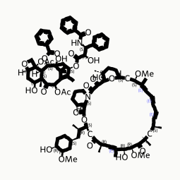 CC(=O)O[C@H]1C(=O)[C@@]2(C)[C@H]([C@H](OC(=O)c3ccccc3)[C@]3(O)C[C@H](OC(=O)[C@H](O)[C@@H](NC(=O)c4ccccc4)c4ccccc4)C(C)=C1C3(C)C)[C@]1(OC(C)=O)CO[C@@H]1C[C@@H]2O.CO[C@H]1C[C@@H]2CC[C@@H](C)[C@@](O)(O2)C(=O)C(=O)N2CCCC[C@H]2C(=O)O[C@H]([C@H](C)C[C@@H]2CC[C@@H](O)[C@H](OC)C2)CC(=O)[C@H](C)/C=C(\C)[C@@H](O)[C@@H](OC)C(=O)[C@H](C)C[C@H](C)/C=C/C=C/C=C/1C